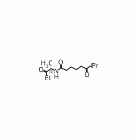 CCC(=O)[C@H](C)NC(=O)CCCCC(=O)C(C)C